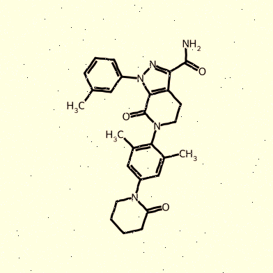 Cc1cccc(-n2nc(C(N)=O)c3c2C(=O)N(c2c(C)cc(N4CCCCC4=O)cc2C)CC3)c1